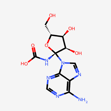 Nc1ncnc2c1ncn2[C@]1(NC(=O)O)O[C@H](CO)[C@@H](O)[C@H]1O